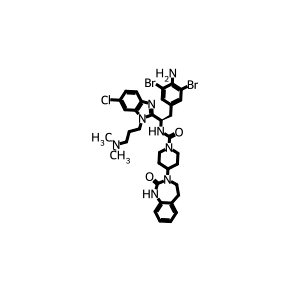 CN(C)CCCn1c([C@@H](Cc2cc(Br)c(N)c(Br)c2)NC(=O)N2CCC(N3CCc4ccccc4NC3=O)CC2)nc2ccc(Cl)cc21